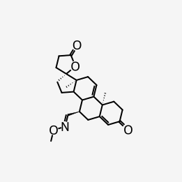 CO/N=C/[C@@H]1CC2=CC(=O)CC[C@]2(C)C2=CC[C@@]3(C)C(CC[C@@]34CCC(=O)O4)C21